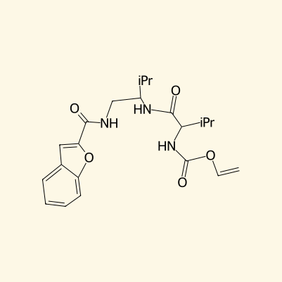 C=COC(=O)NC(C(=O)NC(CNC(=O)c1cc2ccccc2o1)C(C)C)C(C)C